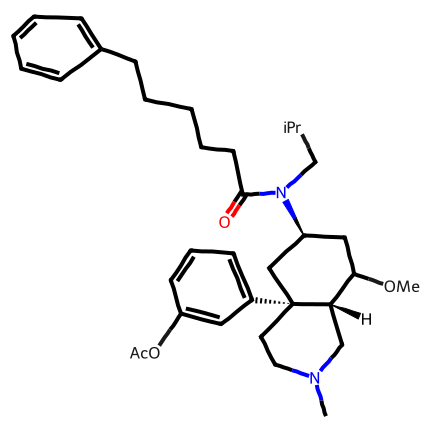 COC1C[C@H](N(CC(C)C)C(=O)CCCCCc2ccccc2)C[C@]2(c3cccc(OC(C)=O)c3)CCN(C)C[C@@H]12